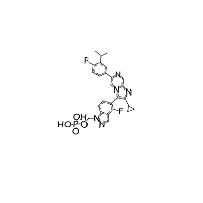 CC(C)c1cc(-c2cn3c(-c4ccc5c(cnn5COP(=O)(O)O)c4F)c(C4CC4)nc3cn2)ccc1F